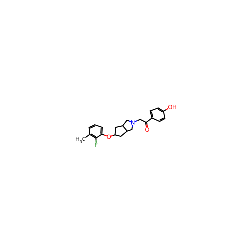 Cc1cccc(OC2CC3CN(CC(=O)c4ccc(O)cc4)CC3C2)c1F